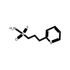 NS(=O)(=S)CCCc1ccccn1